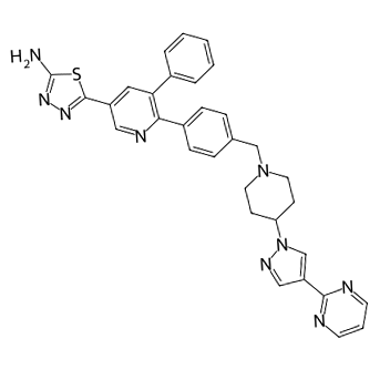 Nc1nnc(-c2cnc(-c3ccc(CN4CCC(n5cc(-c6ncccn6)cn5)CC4)cc3)c(-c3ccccc3)c2)s1